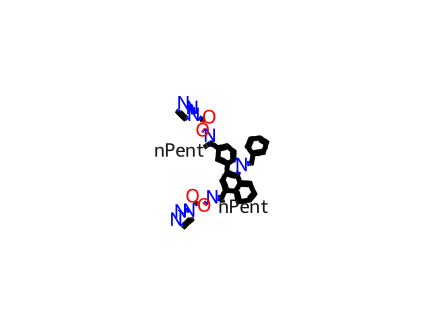 CCCCC/C(=N\OC(=O)n1ccnn1)c1ccc2c(c1)c1cc(/C(CCCCC)=N/OC(=O)n3ccnn3)c3ccccc3c1n2Cc1ccccc1